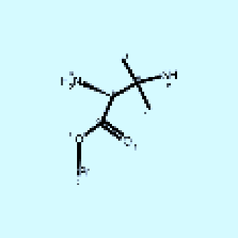 CC(C)OC(=O)[C@@H](N)C(C)(C)S